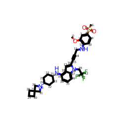 COc1cc(S(C)(=O)=O)ccc1NCC#Cc1cc2c(N[C@H]3CC[C@@H](N4CC5(CCC5)C4)CC3)cccc2n1CC(F)(F)F